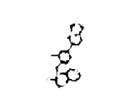 O=c1cnc2ccncc2n1Cc1ccc(-c2ccc3cncn3c2)cc1F